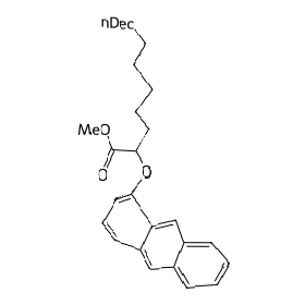 CCCCCCCCCCCCCCCC(Oc1cccc2cc3ccccc3cc12)C(=O)OC